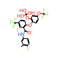 Cc1cc(NC(=O)c2c(Oc3ccc(OC(F)(F)F)cc3OC(O)(O)O)ccc(C(F)(F)F)c2F)ccc1F